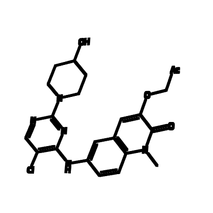 CC(=O)COc1cc2cc(Nc3nc(N4CCC(O)CC4)ncc3Cl)ccc2n(C)c1=O